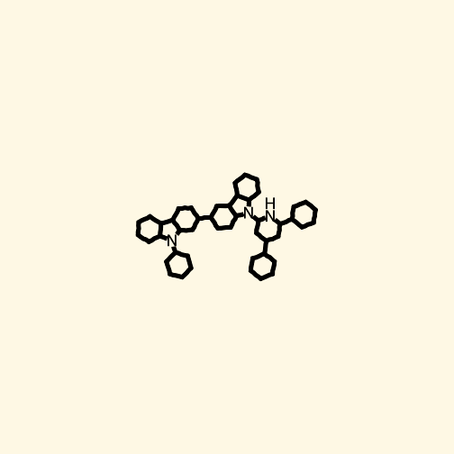 C1CCC(C2CC(C3CCCCC3)NC(N3C4CCCCC4C4CC(C5CCC6C7CCCCC7N(C7CCCCC7)C6C5)CCC43)C2)CC1